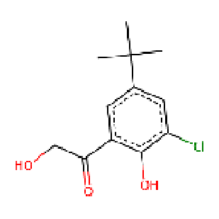 CC(C)(C)c1cc(Cl)c(O)c(C(=O)CO)c1